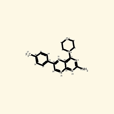 Nc1nc(N2CCOCC2)c2nc(-c3ccc(C(F)(F)F)cc3)cnc2n1